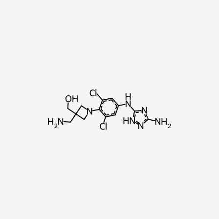 NCC1(CO)CN(c2c(Cl)cc(Nc3nc(N)n[nH]3)cc2Cl)C1